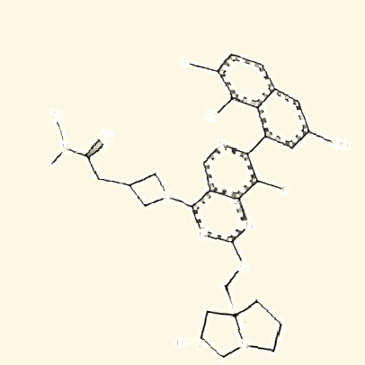 CCc1c(F)ccc2cc(O)cc(-c3ncc4c(N5CC(CC(=O)N(C)C(C)=O)C5)nc(OC[C@@]56CCCN5C[C@H](F)C6)nc4c3F)c12